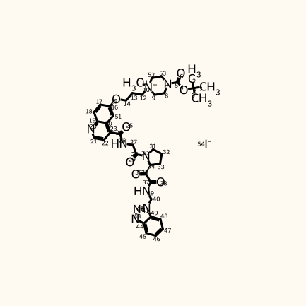 CC(C)(C)OC(=O)N1CC[N+](C)(CCCOc2ccc3nccc(C(=O)NCC(=O)N4CCC[C@H]4C(=O)C(=O)NCn4nnc5ccccc54)c3c2)CC1.[I-]